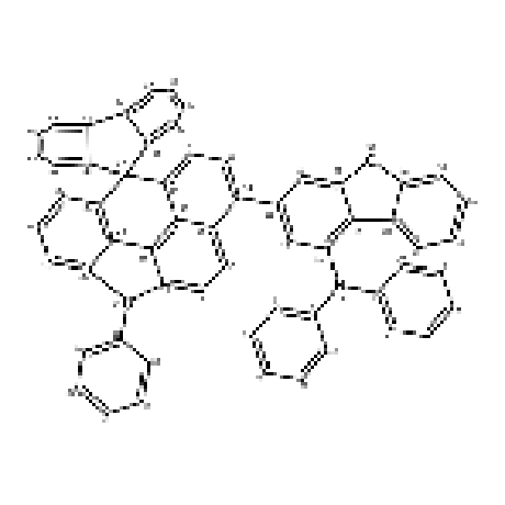 c1ccc(N(c2ccccc2)c2cc(-c3ccc4c5c3ccc3c5c5c(cccc5n3-c3ccccc3)C43c4ccccc4-c4ccccc43)cc3oc4ccccc4c23)cc1